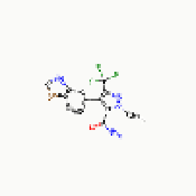 Cn1nc(C(F)(F)F)c(-c2ccc3scnc3c2)c1C(N)=O